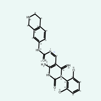 C=C(/N=C\c1c(N)[nH]c(=O)n(-c2c(Cl)cccc2Cl)c1=N)Nc1ccc2c(c1)CNCC2